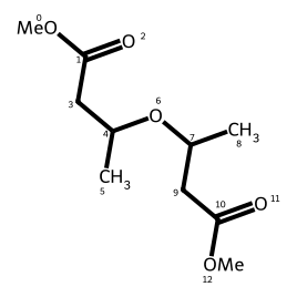 COC(=O)CC(C)OC(C)CC(=O)OC